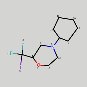 FC(F)(I)C1CN(C2CCCCC2)CCO1